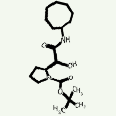 CC(C)(C)OC(=O)N1CCCC1C(O)C(=O)NC1CCCCCCC1